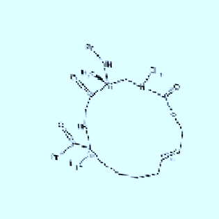 CC(C)N[C@]1(C)CN(C)C(=O)OC/C=C/CCCC[C@@](C)(C(=O)C(C)C)NCC1=O